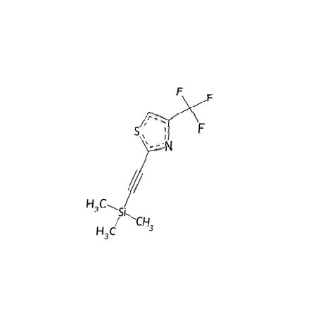 C[Si](C)(C)C#Cc1nc(C(F)(F)F)cs1